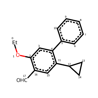 CCOc1cc(-c2ccccc2)c(C2CC2)cc1C=O